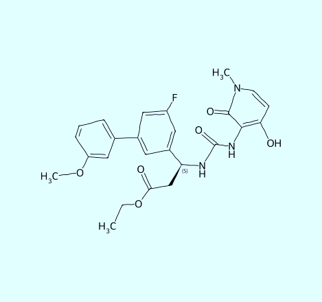 CCOC(=O)C[C@H](NC(=O)Nc1c(O)ccn(C)c1=O)c1cc(F)cc(-c2cccc(OC)c2)c1